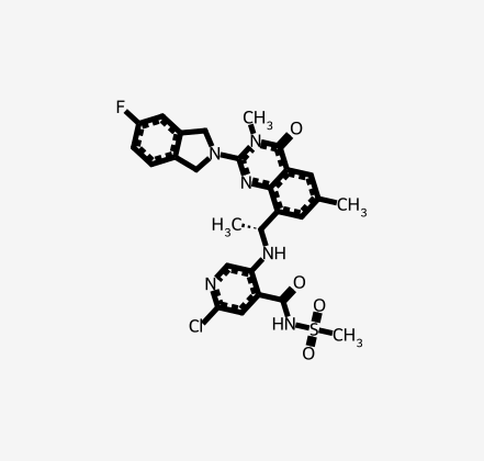 Cc1cc([C@@H](C)Nc2cnc(Cl)cc2C(=O)NS(C)(=O)=O)c2nc(N3Cc4ccc(F)cc4C3)n(C)c(=O)c2c1